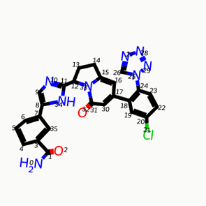 NC(=O)c1cccc(-c2cnc(C3CCc4cc(-c5cc(Cl)ccc5-n5cnnn5)cc(=O)n43)[nH]2)c1